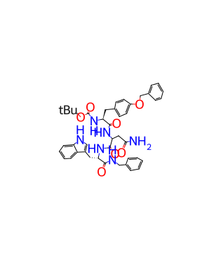 CC(C)(C)OC(=O)N[C@@H](Cc1ccc(OCc2ccccc2)cc1)C(=O)NC(CC(N)=O)C(=O)N[C@@H](Cc1c[nH]c2ccccc12)C(=O)NCc1ccccc1